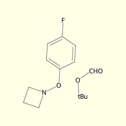 CC(C)(C)OC=O.Fc1ccc(ON2CCC2)cc1